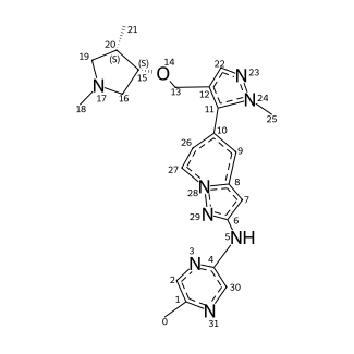 Cc1cnc(Nc2cc3cc(-c4c(CO[C@@H]5CN(C)C[C@@H]5C)cnn4C)ccn3n2)cn1